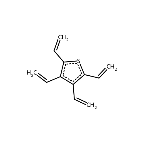 C=Cc1sc(C=C)c(C=C)c1C=C